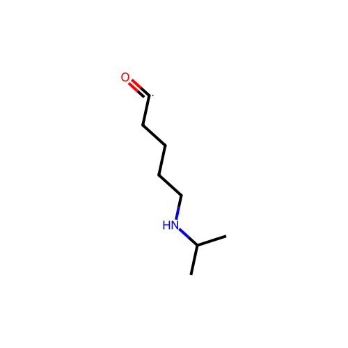 CC(C)NCCCC[C]=O